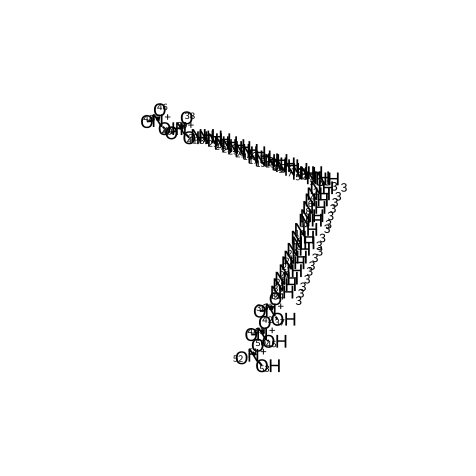 N.N.N.N.N.N.N.N.N.N.N.N.N.N.N.N.N.N.N.N.N.N.N.N.N.N.N.N.N.N.N.N.N.N.O=[N+]([O-])O.O=[N+]([O-])O.O=[N+]([O-])O.O=[N+]([O-])O.O=[N+]([O-])O